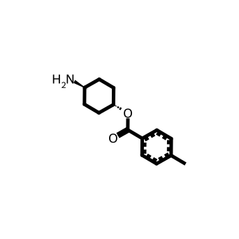 Cc1ccc(C(=O)O[C@H]2CC[C@H](N)CC2)cc1